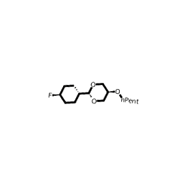 CCCCCO[C@H]1CO[C@H]([C@H]2CC[C@H](F)CC2)OC1